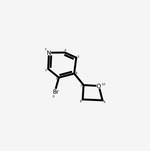 Brc1cnccc1C1CCO1